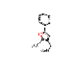 CNCc1cc(-c2ccccc2)oc1C